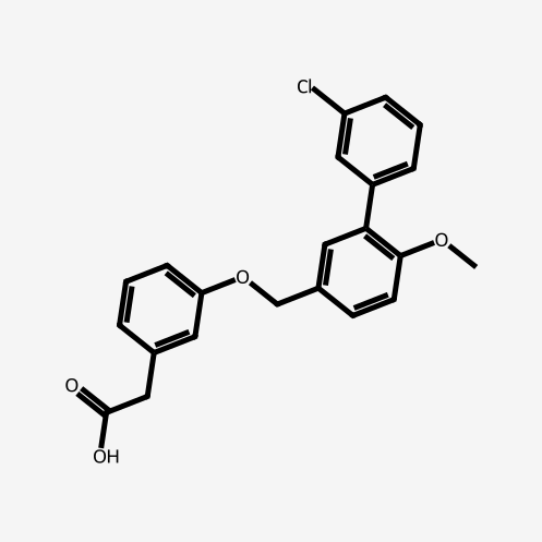 COc1ccc(COc2cccc(CC(=O)O)c2)cc1-c1cccc(Cl)c1